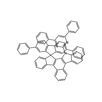 c1ccc(-c2ccc3c(c2)C2(c4cc(-c5ccccc5)ccc4-3)c3ccccc3-c3c2c2c(c4ccccc34)c3ccccc3n2-c2nc(-c3ccccc3)cc(-c3ccccc3)n2)cc1